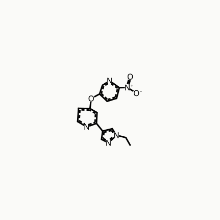 CCn1cc(-c2cc(Oc3ccc([N+](=O)[O-])nc3)ccn2)cn1